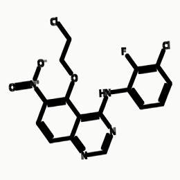 O=[N+]([O-])c1ccc2ncnc(Nc3cccc(Cl)c3F)c2c1OCCCl